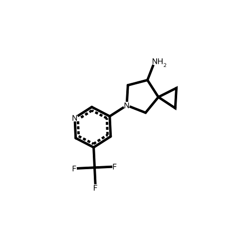 NC1CN(c2cncc(C(F)(F)F)c2)CC12CC2